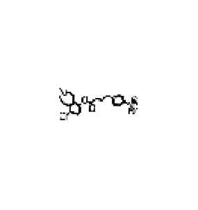 CN1CCc2c(Cl)ccc(OC(=O)CCCc3ccc([N+](=O)[O-])cc3)c2CC1